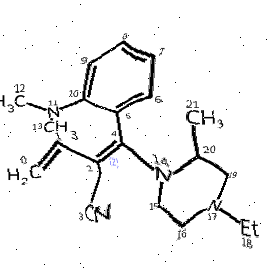 C=C/C(C#N)=C(\c1ccccc1N(C)C)N1CCN(CC)CC1C